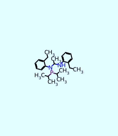 CCc1ccccc1NC(C)N(c1ccccc1CC)P(C(C)C)C(C)C